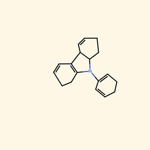 C1=CC(N2C3=C(C=CCC3)C3C=CCCC32)=CCC1